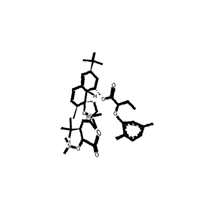 CCC(Oc1cc(C)ccc1C)C(=O)O[C@H]1C[C@H](C(C)(C)C)C=C2C=C[C@H](C)[C@](CC[C@@H]3C[C@H](C(C)(C)C)C(O[SiH](C)C)C(=O)O3)(O[SiH](C)C)[C@H]21